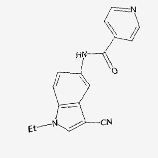 CCn1cc(C#N)c2cc(NC(=O)c3ccncc3)ccc21